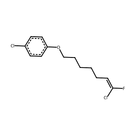 F/C(Cl)=C/CCCCCOc1ccc(Cl)cc1